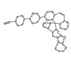 N#Cc1ccc(-c2ccc(-c3ccc4c(c3)C3(c5ccccc5C=C4)c4ccccc4-c4cc5c(cc43)oc3ccccc35)cn2)cc1